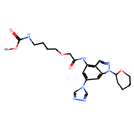 CC(C)(C)OC(=O)NCCCCOCC(=O)Nc1cc(-n2cnnc2)cc2c1cnn2C1CCCCO1